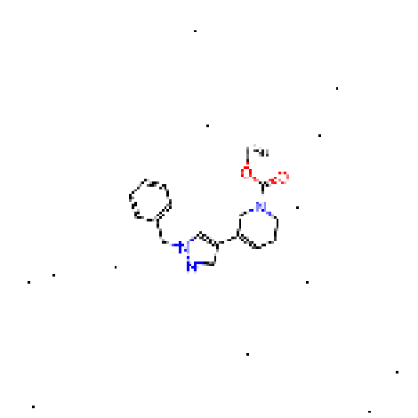 CC(C)(C)OC(=O)N1CCC=C(c2cnn(Cc3ccccc3)c2)C1